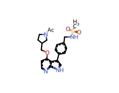 CC(=O)N1CCC(COc2ccnc3[nH]cc(-c4ccc(CNS(C)(=O)=O)cc4)c23)C1